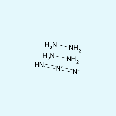 NN.NN.[N-]=[N+]=N